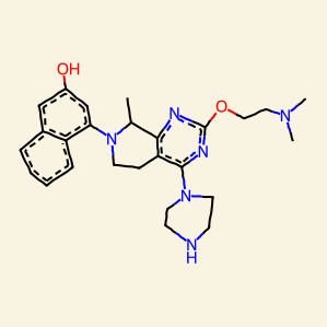 CC1c2nc(OCCN(C)C)nc(N3CCNCC3)c2CCN1c1cc(O)cc2ccccc12